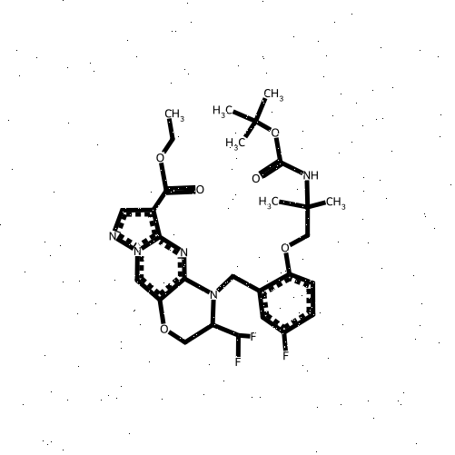 CCOC(=O)c1cnn2cc3c(nc12)N(Cc1cc(F)ccc1OCC(C)(C)NC(=O)OC(C)(C)C)C(C(F)F)CO3